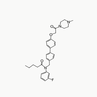 CCCCC(=O)N(Cc1ccc(-c2ccc(OCC(=O)N3CCN(C)CC3)cc2)cc1)c1cccc(F)c1